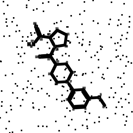 COc1cccc(N2CCC(C(=O)N3CCCC3C(N)=O)CC2)c1